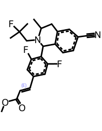 COC(=O)/C=C/c1cc(F)c(C2c3ccc(C#N)cc3CC(C)N2CC(C)(C)F)c(F)c1